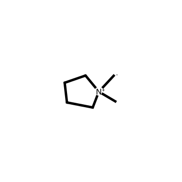 [CH2][N+]1(C)CCCC1